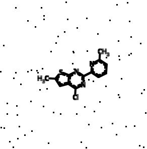 Cc1cccc(-c2nc(Cl)c3cc(C)sc3n2)n1